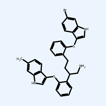 Cc1ccc2c(Sc3ccccc3[C](CN)CCc3ccccc3Sc3c[nH]c4cc(Br)ccc34)c[nH]c2c1